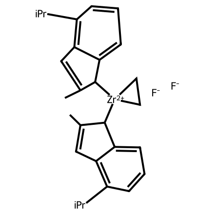 CC1=Cc2c(C(C)C)cccc2[CH]1[Zr+2]1([CH]2C(C)=Cc3c(C(C)C)cccc32)[CH2][CH2]1.[F-].[F-]